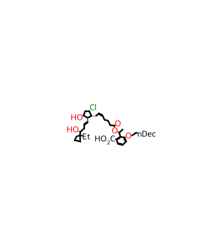 CCCCCCCCCCCCOc1cccc(C(=O)O)c1C(C)OC(=O)CCC/C=C\C[C@@H]1[C@@H](/C=C/C[C@H](O)C2(CC)CCC2)[C@H](O)C[C@H]1Cl